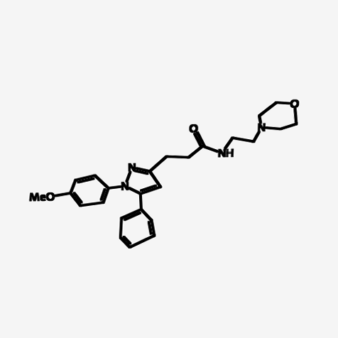 COc1ccc(-n2nc(CCC(=O)NCCN3CCOCC3)cc2-c2ccccc2)cc1